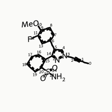 CC#Cn1cc(-c2ccc(OC)c(F)c2)c(-c2ccccc2S(N)(=O)=O)n1